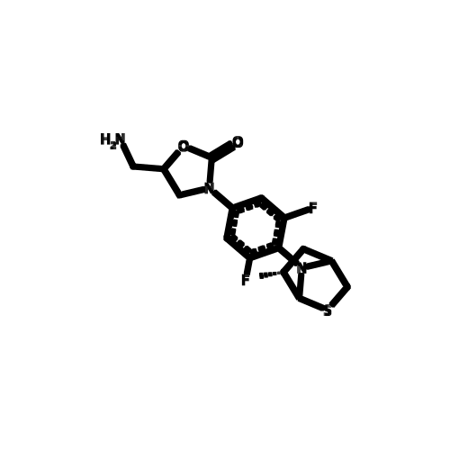 C[C@@H]1CC2CSC1N2c1c(F)cc(N2CC(CN)OC2=O)cc1F